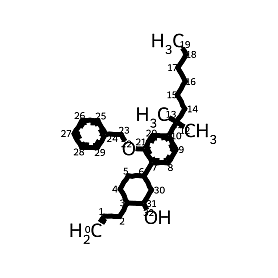 C=CCC1CCC(c2ccc(C(C)(C)CCCCCC)cc2OCc2ccccc2)CC1O